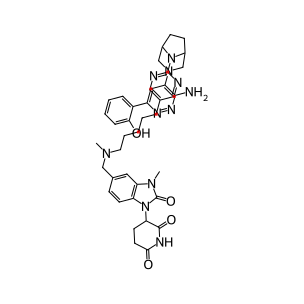 CN(CCCCCc1cnc(N2C3CCC2CN(c2cc(-c4ccccc4O)nnc2N)C3)nc1)Cc1ccc2c(c1)n(C)c(=O)n2C1CCC(=O)NC1=O